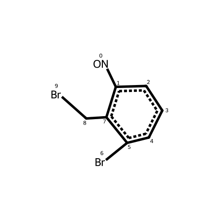 O=Nc1cccc(Br)c1CBr